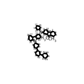 CC1(C)c2ccccc2-c2ccc(N(c3ccccc3)c3ccc4c(c3)c3ccccc3n4-c3ccc(-c4cccc(-c5ccccc5)c4)cc3)cc21